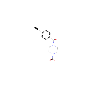 C#Cc1ccc(C(=O)N2CCN(C(=O)OC(C)(C)C)CC2)cc1